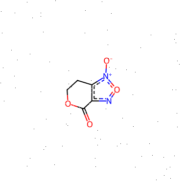 O=C1OCCc2c1no[n+]2[O-]